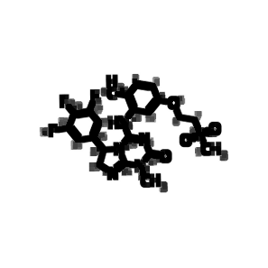 Cc1ccc(OCCS(C)(=O)=O)cc1NC1=NC(=O)N(C)C2=NCC(c3cc(F)c(F)c(F)c3)N12